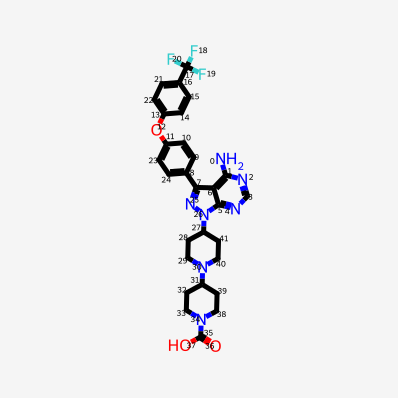 Nc1ncnc2c1c(-c1ccc(Oc3ccc(C(F)(F)F)cc3)cc1)nn2C1CCN(C2CCN(C(=O)O)CC2)CC1